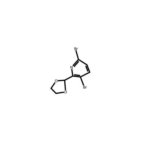 Brc1ccc(Br)c(C2OCCO2)n1